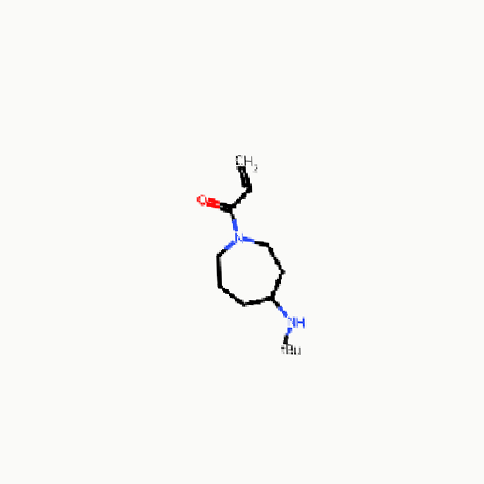 C=CC(=O)N1CCCC(NC(C)(C)C)CC1